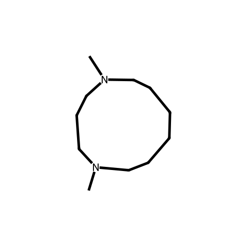 CN1CCCCCCN(C)CCC1